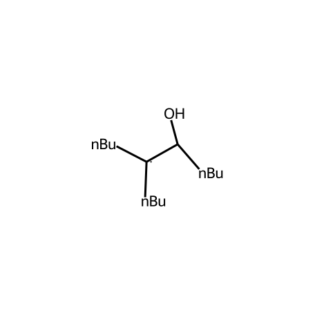 CCCC[C](CCCC)C(O)CCCC